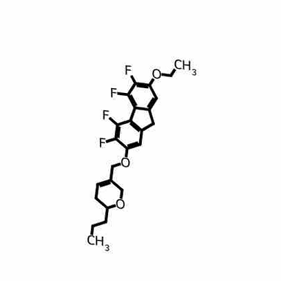 CCCC1CC=C(COc2cc3c(c(F)c2F)-c2c(cc(OCC)c(F)c2F)C3)CO1